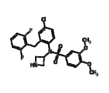 COc1ccc(S(=O)(=O)N(c2ccc(Cl)cc2Cc2c(F)cccc2F)C2CNC2)cc1OC